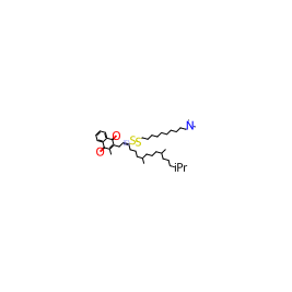 CC1=C(C/C=C(\CCCC(C)CCCC(C)CCCC(C)C)SSCCCCCCCCCCN(C)C)C(=O)c2ccccc2C1=O